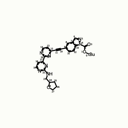 CC(C)(C)OC(=O)n1ncc2cc(C#Cc3ccnc(-c4ccnc(NCC5CCCO5)n4)n3)ccc21